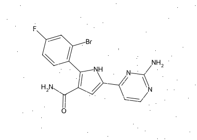 NC(=O)c1cc(-c2ccnc(N)n2)[nH]c1-c1ccc(F)cc1Br